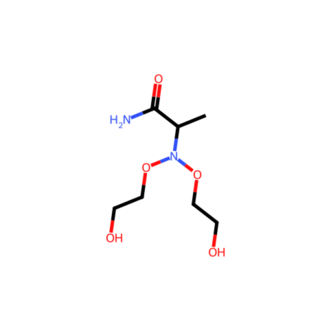 CC(C(N)=O)N(OCCO)OCCO